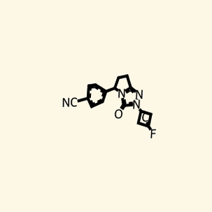 N#Cc1ccc(C2CCc3nn(C45CC(F)(C4)C5)c(=O)n32)cc1